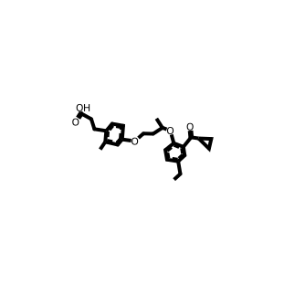 CCc1ccc(OC(C)CCOc2ccc(CCC(=O)O)c(C)c2)c(C(=O)C2CC2)c1